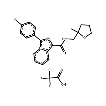 CC1(CNC(=O)c2nc(-c3ccc(F)cc3)n3ccccc23)CCCO1.O=C(O)C(F)(F)F